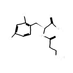 NC(=O)[C@H](Cc1ccc(Cl)cc1Cl)NC(=O)CCC(=O)O